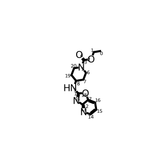 CCOC(=O)N1CCC(Nc2nc3ncccc3o2)CC1